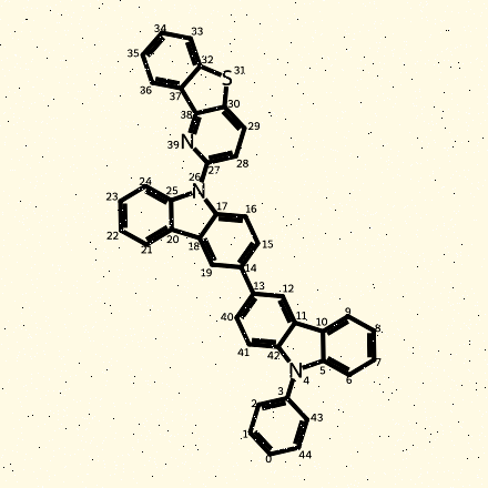 c1ccc(-n2c3ccccc3c3cc(-c4ccc5c(c4)c4ccccc4n5-c4ccc5sc6ccccc6c5n4)ccc32)cc1